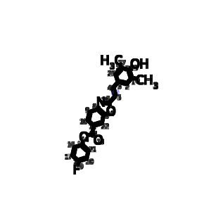 Cc1cc(/C=C/c2nc3ccc(C(=O)Oc4ccc(F)cc4)cc3o2)cc(C)c1O